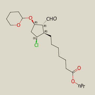 CCCOC(=O)CCCCCC[C@@H]1[C@@H](C=O)[C@H](OC2CCCCO2)C[C@@H]1Cl